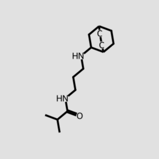 CC(C)C(=O)NCCCNC1CC2CCC1CC2